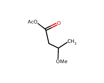 COC(C)CC(=O)OC(C)=O